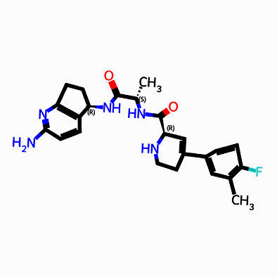 Cc1cc(C2=C[C@H](C(=O)N[C@@H](C)C(=O)N[C@@H]3CCc4nc(N)ccc43)NCC2)ccc1F